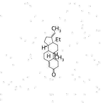 CC=C1CC[C@H]2[C@@H]3CCC4=CC(=O)CC[C@]4(C)[C@H]3CC[C@]12CC